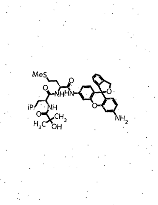 CSCC[C@H](NC(=O)[C@H](CC(C)C)NC(=O)C(C)(C)O)C(=O)Nc1ccc2c(c1)Oc1cc(N)ccc1C21OCc2ccccc21